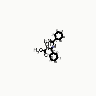 C=C(C)N(C)/C(=N\C(=N)c1ccccc1)c1ccccc1